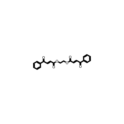 O=C(C=CC(=O)c1ccccc1)OCCOC(=O)C=CC(=O)c1ccccc1